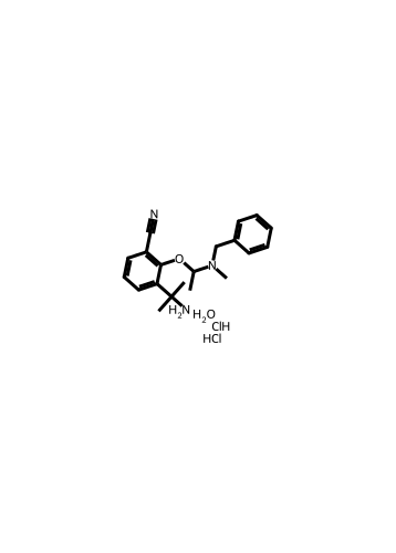 CC(Oc1c(C#N)cccc1C(C)(C)N)N(C)Cc1ccccc1.Cl.Cl.O